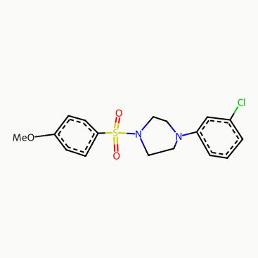 COc1ccc(S(=O)(=O)N2CCN(c3cccc(Cl)c3)CC2)cc1